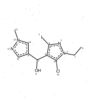 CCn1nc(I)c(C(O)c2cnn(C)c2)c1Cl